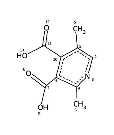 Cc1cnc(C)c(C(=O)O)c1C(=O)O